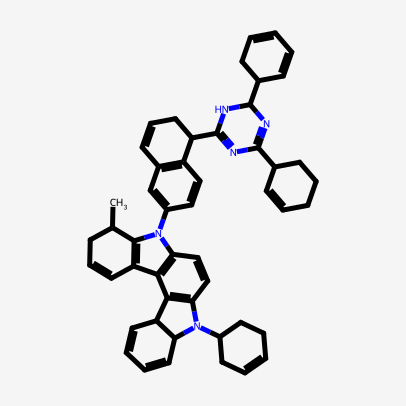 CC1CC=Cc2c1n(-c1ccc3c(c1)C=CCC3C1=NC(C3C=CCCC3)=NC(C3C=CC=CC3)N1)c1ccc3c(c21)C1C=CC=CC1N3C1CC=CCC1